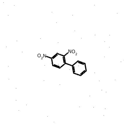 O=[N+]([O-])c1[c]c([N+](=O)[O-])c(-c2ccccc2)cc1